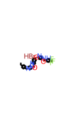 Br.CCc1ccc(CN2CCN(C(=O)c3cc4cc(Oc5ccc(NC(=O)c6ccc(C(F)(F)F)cc6)cn5)ccc4n3C)CC2)cc1